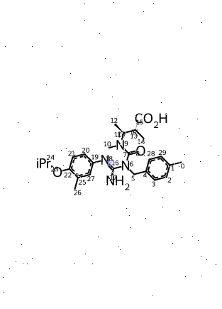 Cc1ccc(CN(C(=O)N(C)[C@@H](C)[C@@H](C)C(=O)O)/C(N)=N/c2ccc(OC(C)C)c(C)c2)cc1